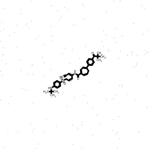 C#C/C=C(\C=C/CS(=O)(=O)c1ccc(NC(C)(C)C)cc1)NC(=O)C1=CC=C(c2ccc(C(=O)C(C)(C)C)cc2)CC=C1